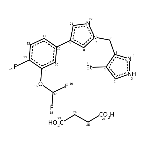 CCc1c[nH]nc1Cn1cc(-c2ccc(F)c(OC(F)F)c2)cn1.O=C(O)CCC(=O)O